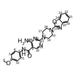 COc1ccc(NC(=O)c2cnc(N3CCN(c4nc5ccccc5o4)CC3)nc2N)cc1